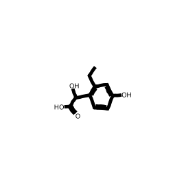 CCc1cc(O)ccc1C(O)C(=O)O